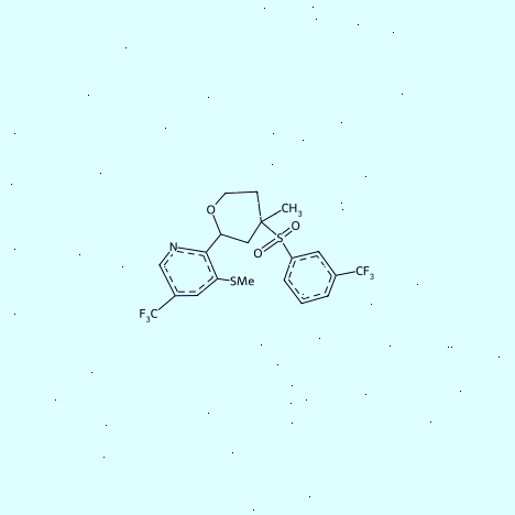 CSc1cc(C(F)(F)F)cnc1C1CC(C)(S(=O)(=O)c2cccc(C(F)(F)F)c2)CCO1